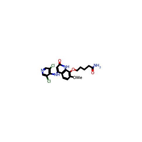 COc1ccc2c(Nc3c(Cl)cncc3Cl)cc(=O)[nH]c2c1OCCCCC(N)=O